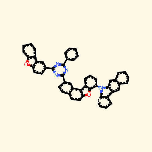 c1ccc(-c2nc(-c3ccc4oc5ccccc5c4c3)nc(-c3ccc4ccc5oc6c(-n7c8ccccc8c8cc9ccccc9cc87)cccc6c5c4c3)n2)cc1